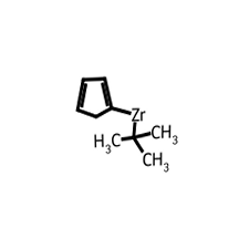 C[C](C)(C)[Zr][C]1=CC=CC1